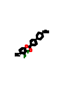 CCCC[C@H]1CC[C@H](c2ccc(C(=O)Oc3ccc(C#N)c(F)c3F)cc2)CC1